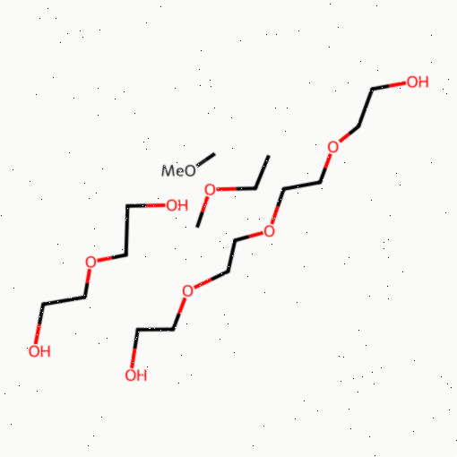 CCOC.COC.OCCOCCO.OCCOCCOCCOCCO